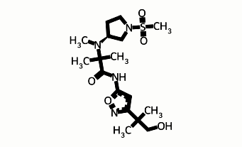 CN([C@H]1CCN(S(C)(=O)=O)C1)C(C)(C)C(=O)Nc1cc(C(C)(C)CO)no1